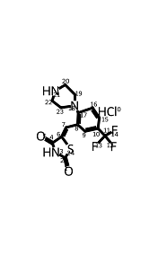 Cl.O=C1NC(=O)/C(=C/c2cc(C(F)(F)F)ccc2N2CCNCC2)S1